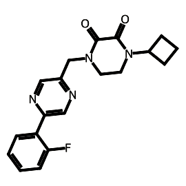 O=C1C(=O)N(C2CCC2)CCN1Cc1cnc(-c2ccccc2F)cn1